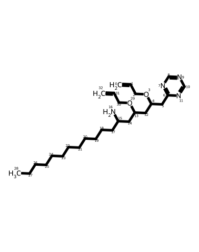 C=CCOC(Cc1ncncn1)CC(CC(N)CCCCCCCCCCCC)OCC=C